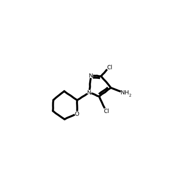 Nc1c(Cl)nn(C2CCCCO2)c1Cl